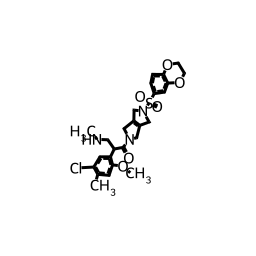 CNCC(C(=O)N1CC2=C(C1)CN(S(=O)(=O)c1ccc3c(c1)OCCO3)C2)c1cc(Cl)c(C)cc1OC